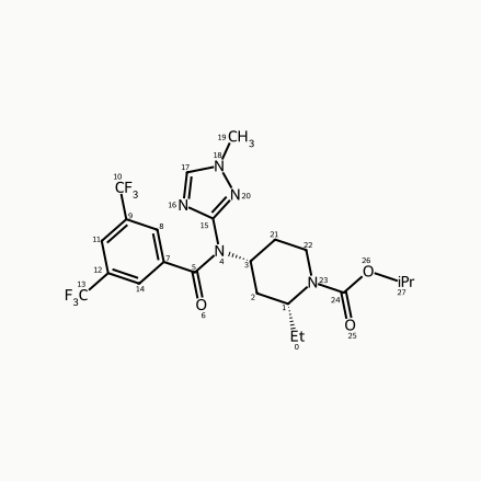 CC[C@@H]1C[C@H](N(C(=O)c2cc(C(F)(F)F)cc(C(F)(F)F)c2)c2ncn(C)n2)CCN1C(=O)OC(C)C